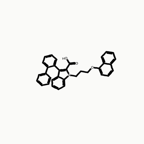 O=C(O)c1c(-c2ccccc2-c2ccccc2)c2ccccc2n1CCCOc1cccc2ccccc12